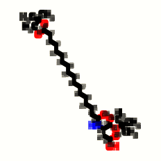 CC(C)(C)OC(=O)CCCCCCCCCCCCCCCCC(=O)N[C@@H](CC(=O)O)C(=O)OC(C)(C)C